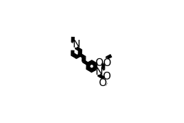 C\C=C/C(/C=C/c1ccc(N(CC(=O)OC)CC(=O)OCC)cc1)=C\C=N\CC